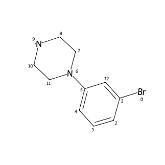 Brc1cccc(N2CC[N]CC2)c1